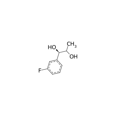 CC(O)[C@H](O)c1cccc(F)c1